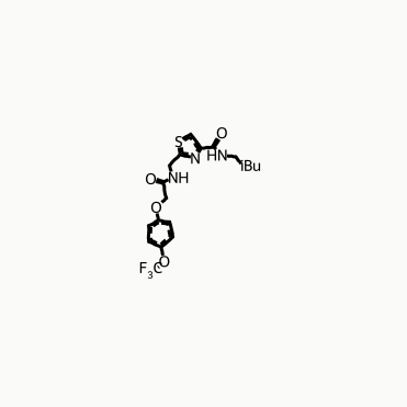 CCC(C)CNC(=O)c1csc(CNC(=O)COc2ccc(OC(F)(F)F)cc2)n1